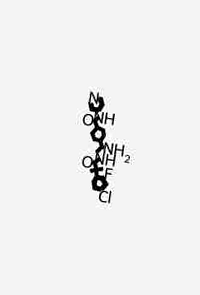 CC(C)(C(=O)NCC(N)C1CCC(C(=O)Nc2ccncc2)CC1)c1ccc(Cl)cc1F